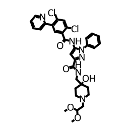 COC(CN1CCC(O)(CNC(=O)c2cc(NC(=O)c3cc(-c4ccccn4)c(Cl)cc3Cl)n(-c3ccccc3)n2)CC1)OC